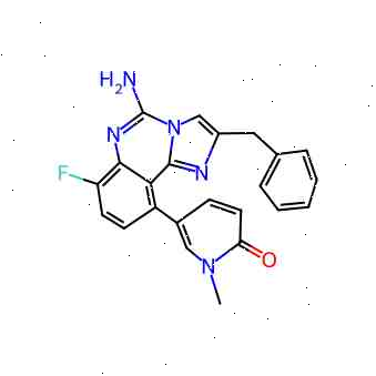 Cn1cc(-c2ccc(F)c3nc(N)n4cc(Cc5ccccc5)nc4c23)ccc1=O